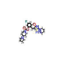 O=C1N=C(N2CCCCN2)S/C1=C/c1ccc(F)cc1OC(=O)N1CCC(N2CCCC2)CC1